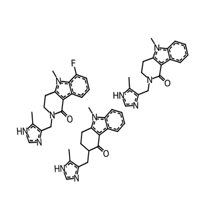 Cc1[nH]cnc1CC1CCc2c(c3ccccc3n2C)C1=O.Cc1[nH]cnc1CN1CCc2c(c3cccc(F)c3n2C)C1=O.Cc1[nH]cnc1CN1CCc2c(c3ccccc3n2C)C1=O